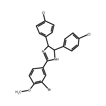 COc1ccc(C2=NC(c3ccc(Cl)cc3)C(c3ccc(Cl)cc3)N2)cc1Br